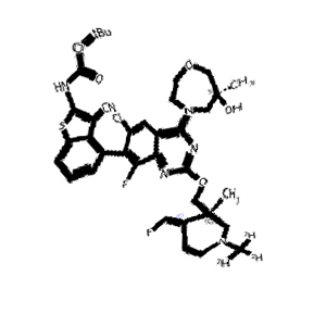 [2H]C([2H])([2H])N1CC/C(=C\F)[C@](C)(COc2nc(N3CCOC[C@@](C)(O)C3)c3cc(Cl)c(-c4cccc5sc(NC(=O)OC(C)(C)C)c(C#N)c45)c(F)c3n2)C1